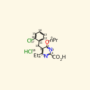 CCCOc1nc(C(=O)O)nc(CC)c1Cc1ccccc1Cl.Cl